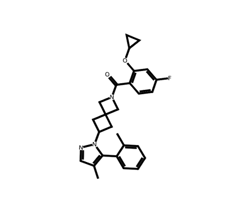 Cc1ccccc1-c1c(C)cnn1C1CC2(C1)CN(C(=O)c1ccc(F)cc1OC1CC1)C2